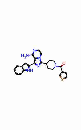 Nc1nccn2c(C3CCN(C(=O)c4ccsc4)CC3)nc(-c3cc4ccccc4[nH]3)c12